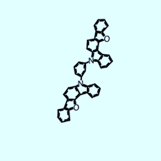 c1cc(-n2c3ccccc3c3c4oc5ccccc5c4ccc32)cc(-n2c3ccccc3c3c4oc5ccccc5c4ccc32)c1